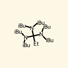 [CH2]CC(N(C(C)CC)C(C)CC)(N(C(C)CC)C(C)CC)N(C(C)CC)C(C)CC